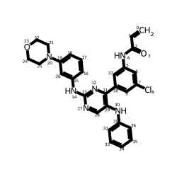 C=CC(=O)Nc1cc(Cl)cc(-c2nc(Nc3cccc(N4CCOCC4)c3)ncc2Nc2ccccc2)c1